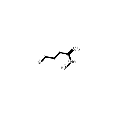 C=C(CCCBr)NP